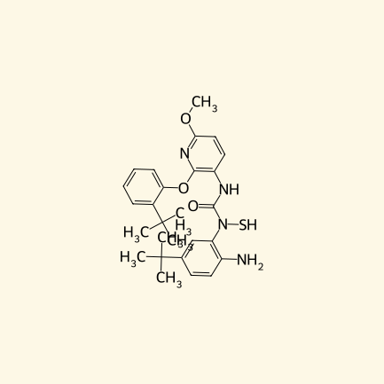 COc1ccc(NC(=O)N(S)c2cc(C(C)(C)C)ccc2N)c(Oc2ccccc2C(C)(C)C)n1